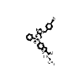 CCNC(=O)c1cc2cc(N(Cc3cncn3Cc3ccc(C#N)cc3)S(=O)(=O)c3ccccc3)ccc2s1